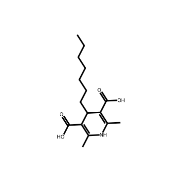 CCCCCCCC1C(C(=O)O)=C(C)NC(C)=C1C(=O)O